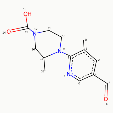 Cc1cc(C=O)cnc1N1CCN(C(=O)O)CC1C